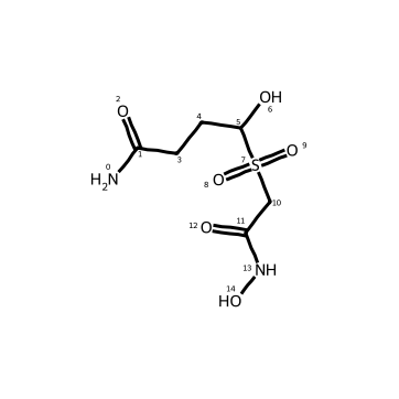 NC(=O)CCC(O)S(=O)(=O)CC(=O)NO